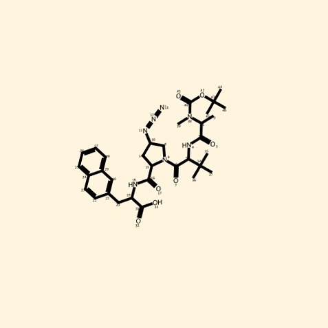 CC(C(=O)NC(C(=O)N1CC(N=[N+]=[N-])CC1C(=O)NC(Cc1ccc2ccccc2c1)C(=O)O)C(C)(C)C)N(C)C(=O)OC(C)(C)C